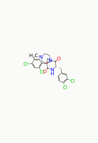 CN1CCN(C(=O)[C@H](Cc2ccc(Cl)c(Cl)c2)NC(=O)C2(c3ccc(Cl)cc3Cl)CC2)CC1